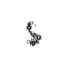 O=C(Nc1cccnc1N1CCN(C/C=C/c2ccc(OC(F)(F)F)cc2)CC1)c1ccnc(Cl)c1